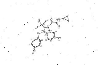 O=C(NC1CC1)C(=O)c1c(C(F)(F)F)n(Cc2ccc(Cl)cc2)c2ccc(Cl)cc12